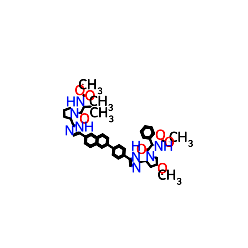 COC(=O)N[C@H](C(=O)N1C[C@@H](OC)C[C@H]1c1ncc(-c2ccc(-c3ccc4cc(-c5cnc(C6CCCN6C(=O)[C@@H](NC(=O)OC)C(C)C)[nH]5)ccc4c3)cc2)[nH]1)c1ccccc1